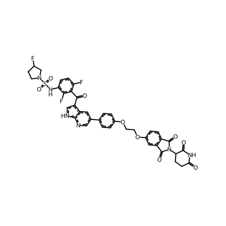 O=C1CCC(N2C(=O)c3ccc(OCCOc4ccc(-c5cnc6[nH]cc(C(=O)c7c(F)ccc(NS(=O)(=O)N8CCC(F)C8)c7F)c6c5)cc4)cc3C2=O)C(=O)N1